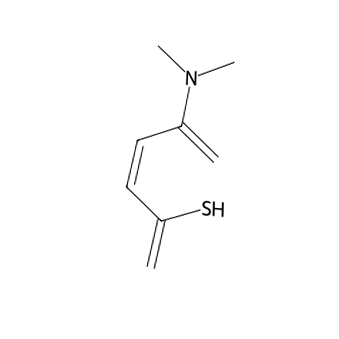 C=C(S)/C=C\C(=C)N(C)C